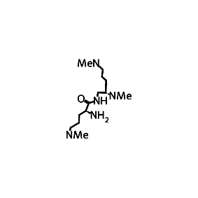 CNCCC[C@@H](CNC(=O)[C@@H](N)CCCNC)NC